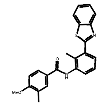 COc1ccc(C(=O)Nc2cccc(-c3nc4ccccc4s3)c2C)cc1C